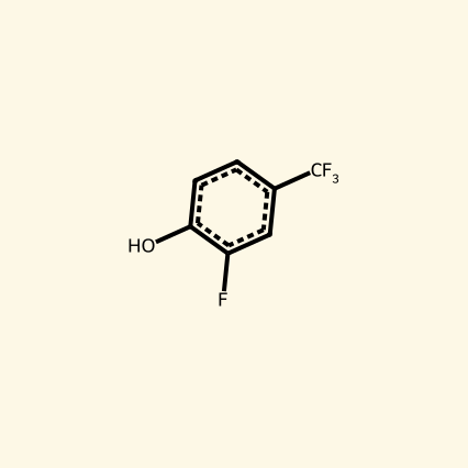 Oc1ccc(C(F)(F)F)cc1F